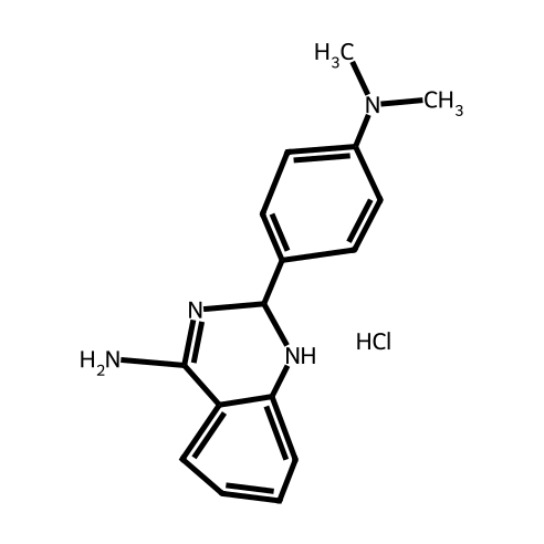 CN(C)c1ccc(C2N=C(N)c3ccccc3N2)cc1.Cl